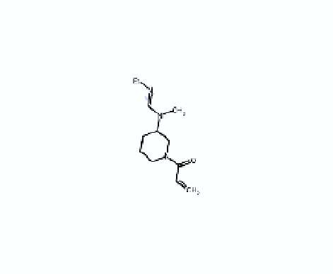 C=CC(=O)N1CCCC(N(C)/C=N/CC)C1